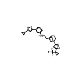 FC(F)(F)C1(c2nc(C34CCC(CC3)C(CCNc3cccc(-c5cc(C6CC6)no5)c3)C4)no2)CC1